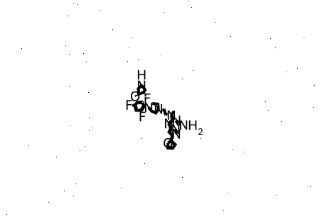 CN(CCN1CCN(c2cc(O[C@H]3CNC[C@H]3F)c(F)cc2F)CC1)c1nc(N)n2nc(-c3ccco3)cc2n1